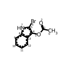 CC(=O)Oc1c(Br)[nH]c2ccccc12